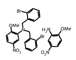 COc1ccc([N+](=O)[O-])cc1N.COc1ccc([N+](=O)[O-])cc1N(Cc1ccccc1Br)Cc1ccccc1Br